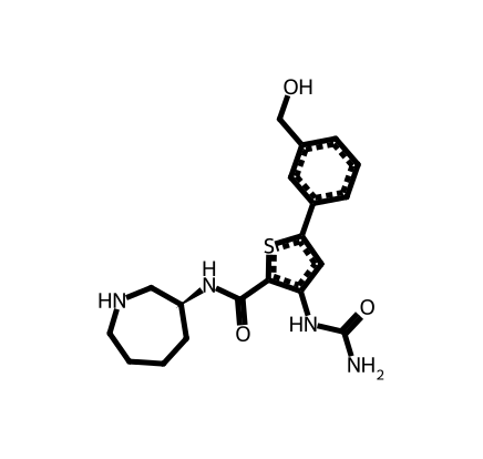 NC(=O)Nc1cc(-c2cccc(CO)c2)sc1C(=O)N[C@H]1CCCCNC1